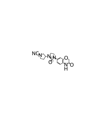 N#CN1CCC(N2CCN(c3ccc4c(c3)OCC(=O)N4)[S+]2[O-])C1